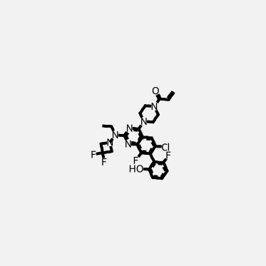 C=CC(=O)N1CCN(c2nc(N(CC)N3CC(F)(F)C3)nc3c(F)c(-c4c(O)cccc4F)c(Cl)cc23)CC1